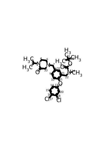 CC(C)N1CCN(Cc2ccc(Oc3ccc(Cl)c(Cl)c3)c(CN(C)C(=O)OC(C)(C)C)c2)CC1=O